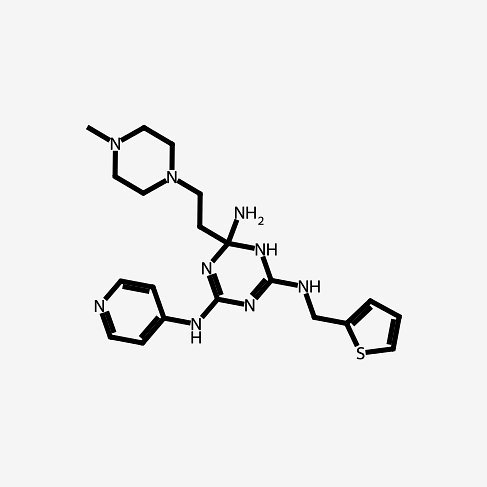 CN1CCN(CCC2(N)N=C(Nc3ccncc3)N=C(NCc3cccs3)N2)CC1